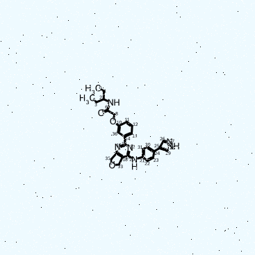 CCC(CC)NC(=O)COc1cccc(-c2nc3c(c(Nc4ccc(-c5cn[nH]c5)cc4)n2)COC3)c1